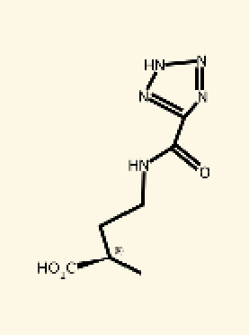 C[C@H](CCNC(=O)c1nn[nH]n1)C(=O)O